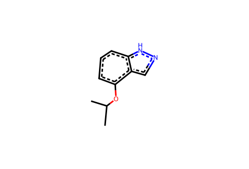 CC(C)Oc1cccc2[nH]ncc12